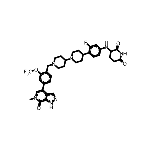 Cn1cc(-c2ccc(CN3CCC(N4CCC(c5ccc(NC6CCC(=O)NC6=O)cc5F)CC4)CC3)c(OC(F)(F)F)c2)c2cn[nH]c2c1=O